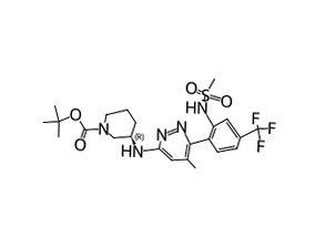 Cc1cc(N[C@@H]2CCCN(C(=O)OC(C)(C)C)C2)nnc1-c1ccc(C(F)(F)F)cc1NS(C)(=O)=O